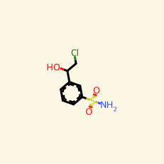 NS(=O)(=O)c1cccc(C(O)CCl)c1